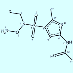 CCN(ON)S(=O)(=O)c1sc(NC(C)=O)nc1C